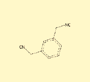 [C-]#[N+]Cc1cccc(C[N+]#[C-])c1